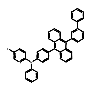 Fc1ccc(N(c2ccccc2)c2ccc(-c3c4ccccc4c(-c4cccc(-c5ccccc5)c4)c4ccccc34)cc2)nc1